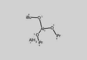 CCC(C)[O][Al]([O]C(C)C)[O]C(C)C.[AlH3]